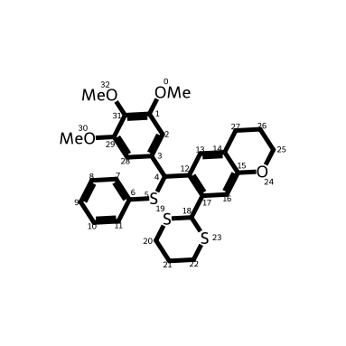 COc1cc(C(Sc2ccccc2)c2cc3c(cc2C2SCCCS2)OCCC3)cc(OC)c1OC